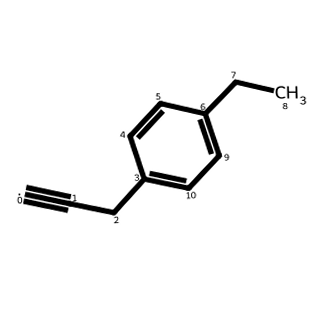 [C]#CCc1ccc(CC)cc1